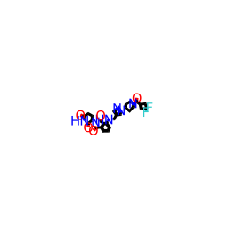 O=C1CCC(N2C(=O)c3cccc(NCc4cnn(C5CCN(C(=O)C6CC(F)(F)C6)CC5)c4)c3C2=O)C(=O)N1